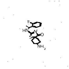 C[C@H](NC1=NC(=O)C2(CCC(N)CC2)S1)c1ccccc1F